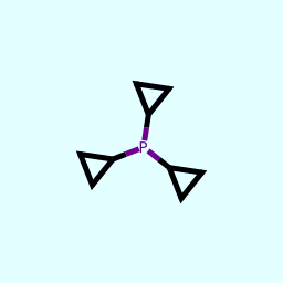 C1CC1P(C1CC1)C1CC1